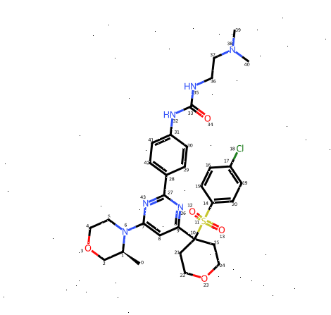 C[C@H]1COCCN1c1cc(C2(S(=O)(=O)c3ccc(Cl)cc3)CCOCC2)nc(-c2ccc(NC(=O)NCCN(C)C)cc2)n1